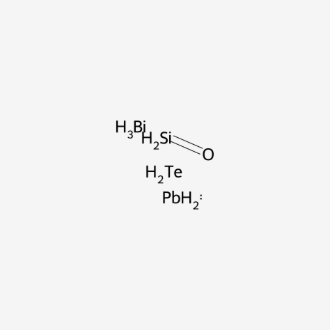 O=[SiH2].[BiH3].[PbH2].[TeH2]